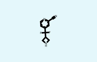 N#Cc1cc(C(F)(F)C2CNC2)ccn1